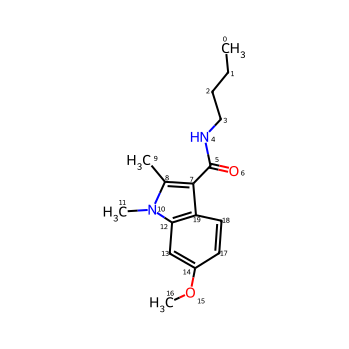 CCCCNC(=O)c1c(C)n(C)c2cc(OC)ccc12